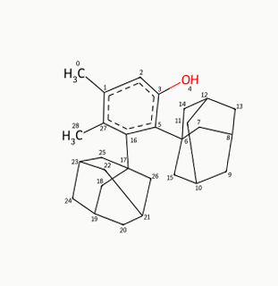 Cc1cc(O)c(C23CC4CC(CC(C4)C2)C3)c(C23CC4CC(CC(C4)C2)C3)c1C